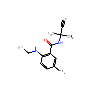 C#CC(C)(C)NC(=O)c1cc(C(F)(F)F)ccc1NCC(F)(F)F